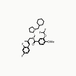 COc1ccc(C(=O)N(CC(C)=Cc2ccc(F)cc2F)C[C@@H]2CCCN2CC2CCCCC2)cc1OC(F)F